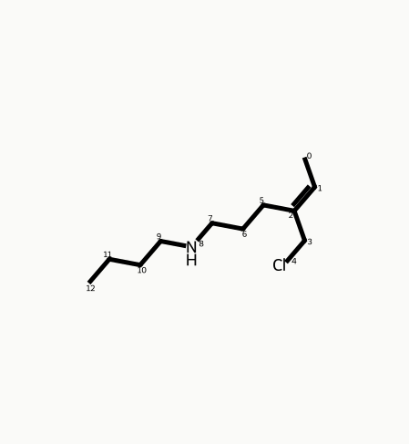 C/C=C(/CCl)CCCNCCCC